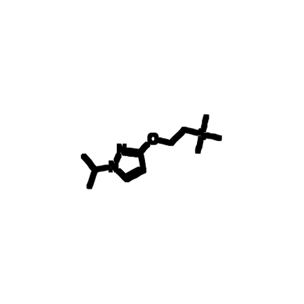 CC(C)n1ccc(OCCS(C)(C)C)n1